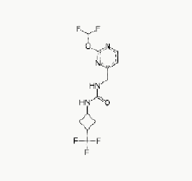 O=C(NCc1ccnc(OC(F)F)n1)NC1CC(C(F)(F)F)C1